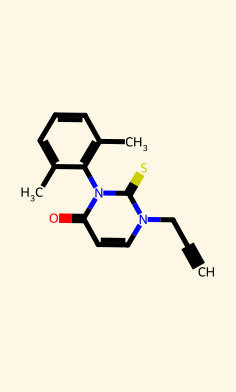 C#CCn1ccc(=O)n(-c2c(C)cccc2C)c1=S